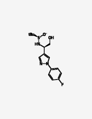 CC(C)(C)[S@@+]([O-])N[C@@H](CO)c1cnn(-c2ccc(F)cc2)c1